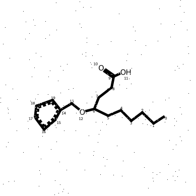 CCCCCCC(CCC(=O)O)OCc1ccccc1